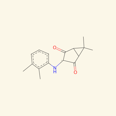 Cc1cccc(N[C]2C(=O)C3C(C2=O)C3(C)C)c1C